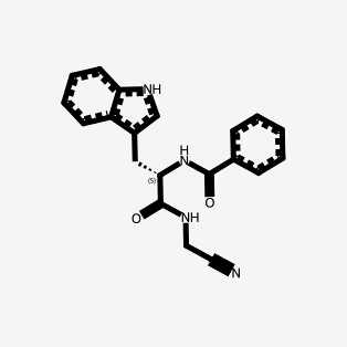 N#CCNC(=O)[C@H](Cc1c[nH]c2ccccc12)NC(=O)c1ccccc1